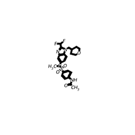 CC(=O)Nc1ccc(S(=O)(=O)N(C)c2ccc3c(c2)nc(C(F)F)n3CC2CCOCC2)cc1